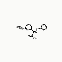 O=CNc1cccc(/C(=N\Oc2ccccc2)C(=O)O)n1